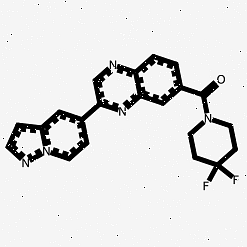 O=C(c1ccc2ncc(-c3ccn4nccc4c3)nc2c1)N1CCC(F)(F)CC1